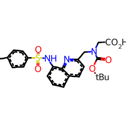 Cc1ccc(S(=O)(=O)Nc2cccc3ccc(CN(CC(=O)O)C(=O)OC(C)(C)C)nc23)cc1